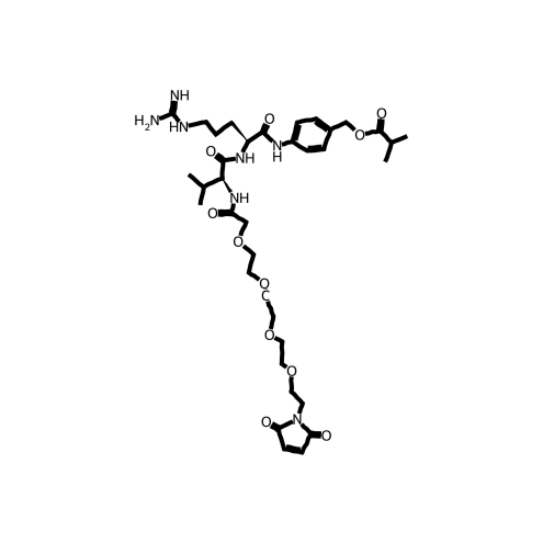 CC(C)C(=O)OCc1ccc(NC(=O)[C@H](CCCNC(=N)N)NC(=O)[C@@H](NC(=O)COCCOCCOCCOCCN2C(=O)C=CC2=O)C(C)C)cc1